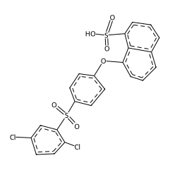 O=S(=O)(O)c1cccc2cccc(Oc3ccc(S(=O)(=O)c4cc(Cl)ccc4Cl)cc3)c12